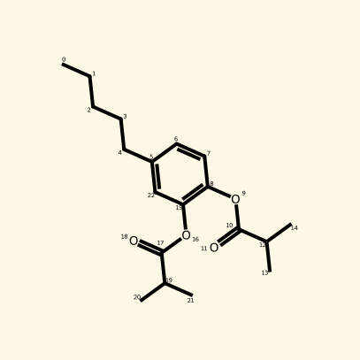 CCCCCc1ccc(OC(=O)C(C)C)c(OC(=O)C(C)C)c1